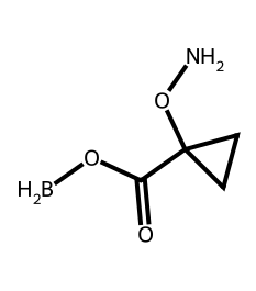 BOC(=O)C1(ON)CC1